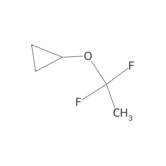 CC(F)(F)OC1CC1